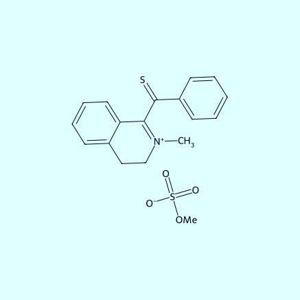 COS(=O)(=O)[O-].C[N+]1=C(C(=S)c2ccccc2)c2ccccc2CC1